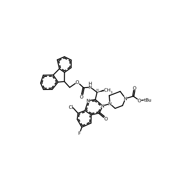 C[C@H](NC(=O)OCC1c2ccccc2-c2ccccc21)c1nc2c(Cl)cc(F)cc2c(=O)n1N1CCN(C(=O)OC(C)(C)C)CC1